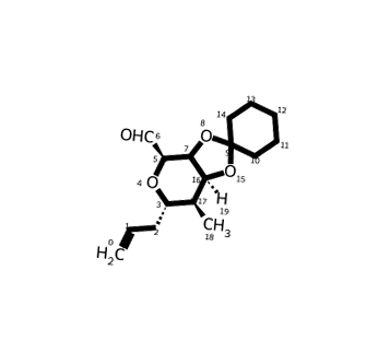 C=CC[C@@H]1O[C@@H](C=O)C2OC3(CCCCC3)O[C@H]2[C@H]1C